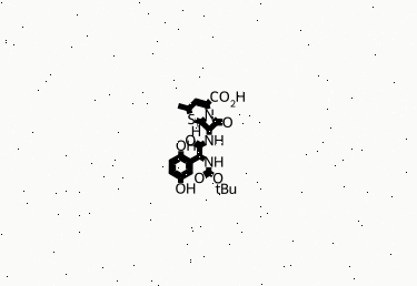 CC1C=C(C(=O)O)N2C(=O)C(NC(=O)C(NC(=O)OC(C)(C)C)c3cc(O)ccc3O)[C@H]2S1